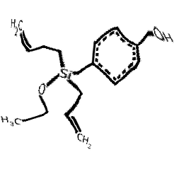 C=CC[Si](CC=C)(OCC)c1ccc(O)cc1